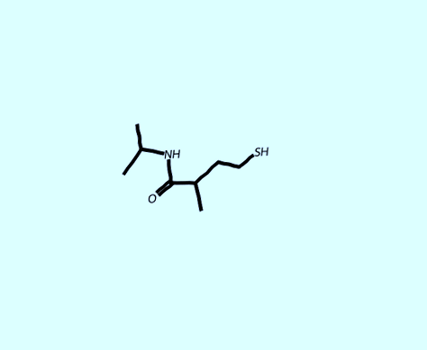 CC(C)NC(=O)C(C)CCS